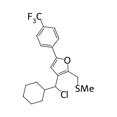 CSCc1oc(-c2ccc(C(F)(F)F)cc2)cc1C(Cl)C1CCCCC1